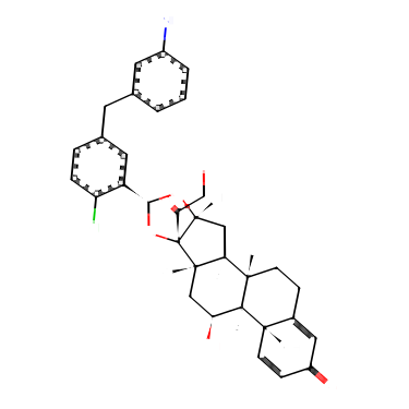 C[C@]12C=CC(=O)C=C1CC[C@@H]1[C@@H]2[C@@H](O)C[C@@]2(C)[C@H]1C[C@H]1O[C@H](c3cc(Cc4cccc(N)c4)ccc3Cl)O[C@]12C(=O)CO